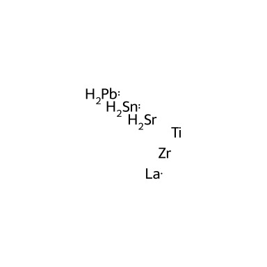 [La].[PbH2].[SnH2].[SrH2].[Ti].[Zr]